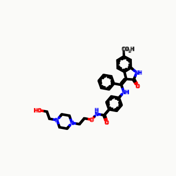 O=C1Nc2cc(C(=O)O)ccc2/C1=C(/Nc1ccc(C(=O)NOCCN2CCN(CCO)CC2)cc1)c1ccccc1